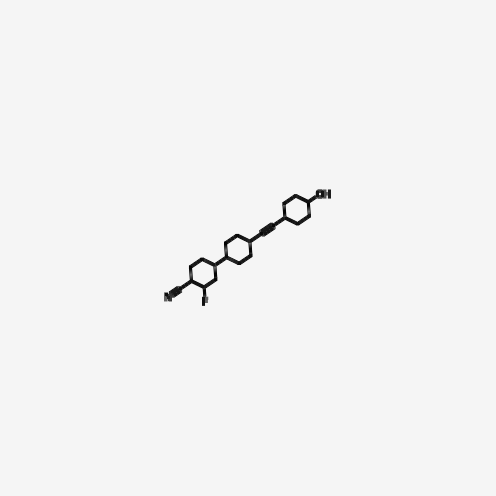 N#CC1CCC(C2CCC(C#CC3CCC(O)CC3)CC2)CC1F